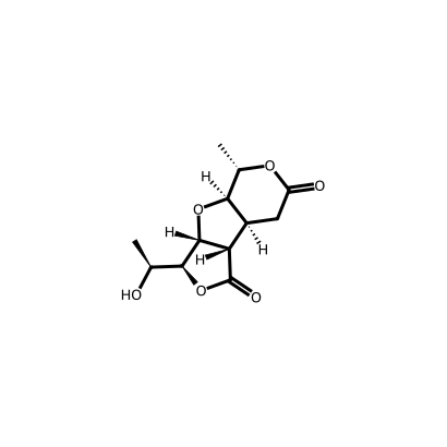 C[C@H](O)[C@@H]1OC(=O)[C@H]2[C@@H]3CC(=O)O[C@@H](C)[C@@H]3O[C@@H]12